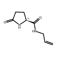 C=CCNC(=O)[C@@H]1CCC(=O)N1